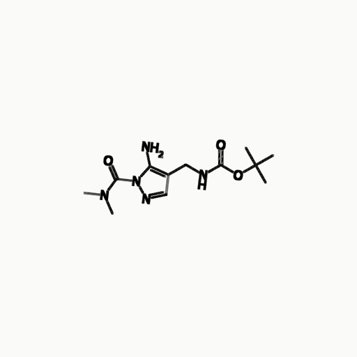 CN(C)C(=O)n1ncc(CNC(=O)OC(C)(C)C)c1N